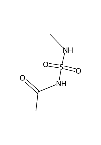 CNS(=O)(=O)NC(C)=O